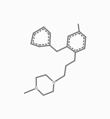 Cc1ccc(CCCN2CCN(C)CC2)c(Cc2ccccc2)c1